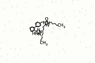 CCCCCCCCc1nn(CCCCC)c(=O)n1Cc1ccc(-c2ccccc2-c2nnn[nH]2)cc1